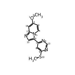 COc1ccn2c(-c3cc(SC)ncn3)cnc2c1